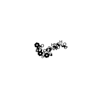 COC(=O)CNC(=O)[C@H](C)NC(=O)CNC(=O)CN(C(C)=O)c1c(OC)ccc2c1Sc1c(ccc(OC)c1CN1C(=O)c3ccccc3C1=O)N2C